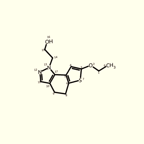 CCOc1cc2c(s1)CCc1cnn(CCO)c1-2